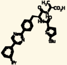 CC(C)c1cccc(-c2cnc(-c3ccc(C[C@H](NC(=O)c4ccc(C(C)(C)C)s4)C(=O)N[C@H](C)C(=O)O)cc3)nc2)c1